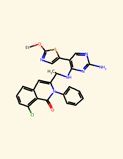 CCOc1ncc(-c2cnc(N)nc2N[C@@H](C)c2cc3cccc(Cl)c3c(=O)n2-c2ccccc2)s1